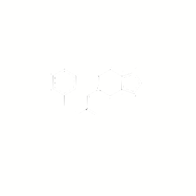 Cl.O=C(O)[C@H](c1ccccc1Cl)N1CCc2sccc2C1